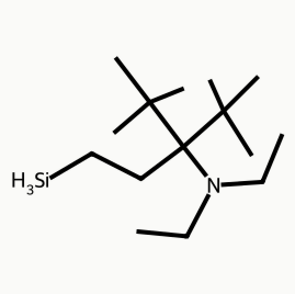 CCN(CC)C(CC[SiH3])(C(C)(C)C)C(C)(C)C